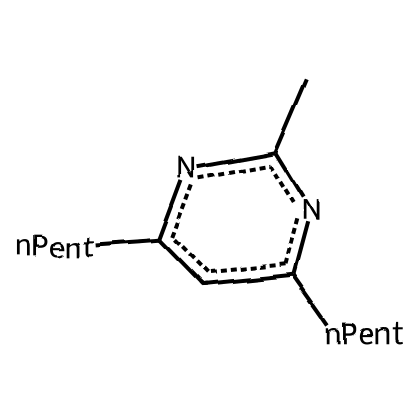 CCCCCc1cc(CCCCC)nc(C)n1